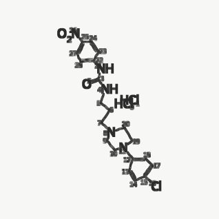 Cl.Cl.O=C(NCCCN1CCN(c2ccc(Cl)cc2)CC1)Nc1ccc([N+](=O)[O-])cc1